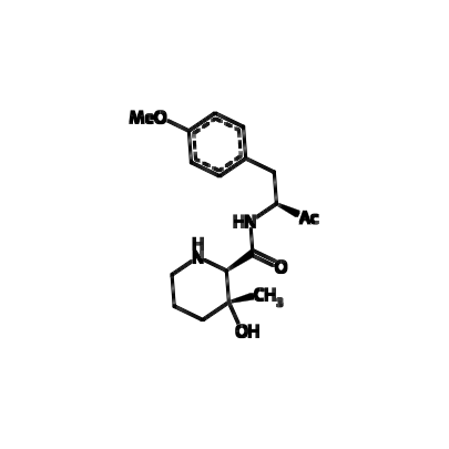 COc1ccc(C[C@H](NC(=O)[C@@H]2NCCC[C@@]2(C)O)C(C)=O)cc1